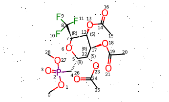 COP(=O)(C[C@@H]1O[C@@H](C(F)(F)F)[C@@H](OC(C)=O)[C@@H](OC(C)=O)[C@@H]1OC(C)=O)OC